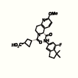 COc1ccc2c(n1)CCN(C(=O)[C@H]1C[C@H](C(=O)O)C1)[C@H]2C(=O)Nc1cc(F)c2c(c1)CCC2(C)C